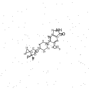 Cc1cc2c(nc1N1CCC(OCC3(C(F)(F)F)CC3)CC1)CNC2=O